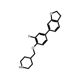 Fc1cc(-c2ccc3c(c2)OCC3)ccc1OCC1CCNCC1